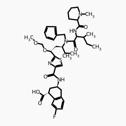 CCC(C)C(NC(=O)C1CCCCN1C)C(=O)N(Cc1ccccc1)[C@H](C[C@@H](OCOC)c1nc(C(=O)N[C@H]2Cc3ccc(F)cc3[C@H](C(=O)O)C2)cs1)C(C)C